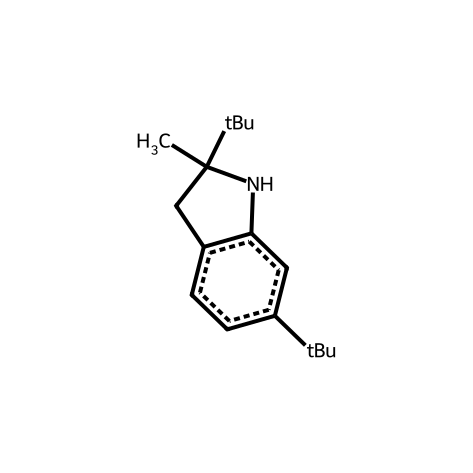 CC(C)(C)c1ccc2c(c1)NC(C)(C(C)(C)C)C2